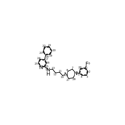 Fc1cccc(N2CCN(CCCCNc3cc(-c4ccccc4)ccn3)CC2)c1